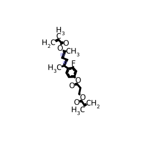 C=C(C)C(=O)OCCC(=O)Oc1ccc(/C(C)=C/C=C(\C)OC(=O)C(=C)C)c(F)c1